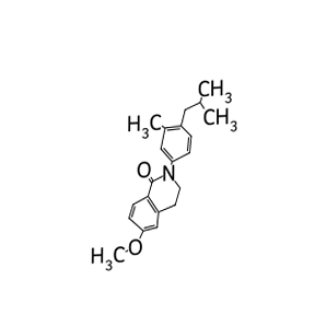 COc1ccc2c(c1)CCN(c1ccc(CC(C)C)c(C)c1)C2=O